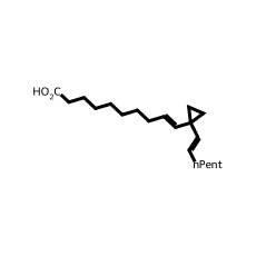 CCCCCC=CC1(C=CCCCCCCCC(=O)O)CC1